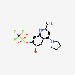 Cc1cc(N2CCCC2)c2cc(Br)c(OS(=O)(=O)C(F)(F)F)cc2n1